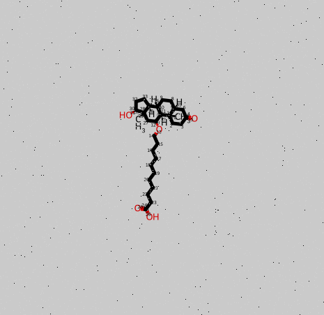 C[C@]12CCC(=O)C[C@@H]1CC[C@@H]1[C@@H]2[C@@H](OCCCCCCCCCCC(=O)O)C[C@]2(C)[C@@H](O)CC[C@@H]12